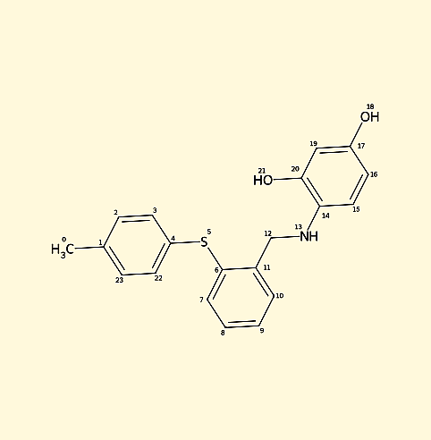 Cc1ccc(Sc2ccccc2CNc2ccc(O)cc2O)cc1